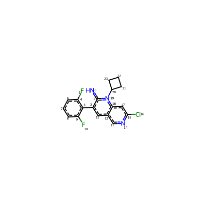 N=c1c(-c2c(F)cccc2F)cc2cnc(Cl)cc2n1C1CCC1